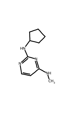 CNc1ccnc(NC2CCCC2)n1